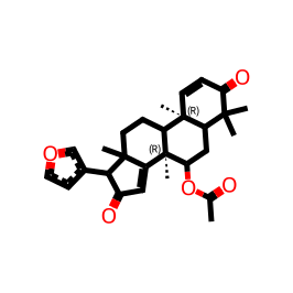 CC(=O)OC1CC2C(C)(C)C(=O)C=C[C@]2(C)C2CCC3(C)C(=CC(=O)C3c3ccoc3)[C@]12C